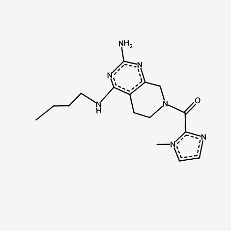 CCCCNc1nc(N)nc2c1CCN(C(=O)c1nccn1C)C2